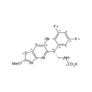 CSc1nc2nc([C@@H](CNC(=O)O)c3cc(F)cc(F)c3)c(Br)cc2s1